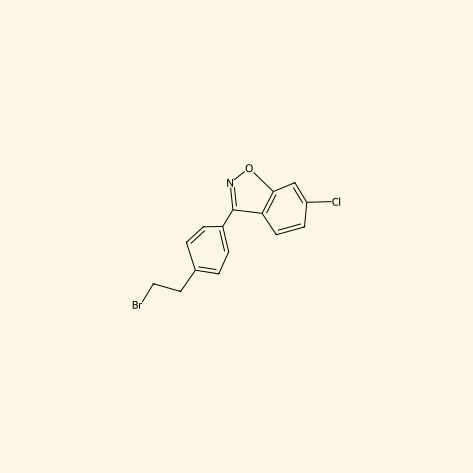 Clc1ccc2c(-c3ccc(CCBr)cc3)noc2c1